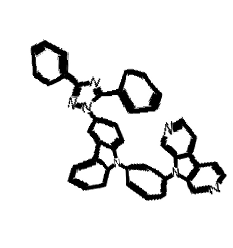 c1ccc(-c2nc(-c3ccccc3)n(-c3ccc4c(c3)c3ccccc3n4-c3cccc(-n4c5cnccc5c5ccncc54)c3)n2)cc1